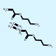 C=C.C=C.C=CC(=O)OCCCC.C=CC(=O)OCCCC